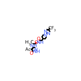 CC(=O)c1c(NC(C)CONC(=O)CC2CCN(c3ncc(C(F)(F)F)cn3)CC2)cn[nH]c1=O